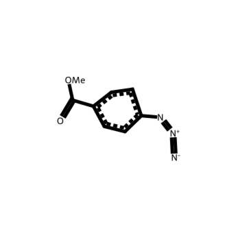 COC(=O)c1ccc(N=[N+]=[N-])cc1